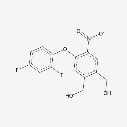 O=[N+]([O-])c1cc(CO)c(CO)cc1Oc1ccc(F)cc1F